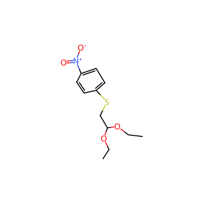 CCOC(CSc1ccc([N+](=O)[O-])cc1)OCC